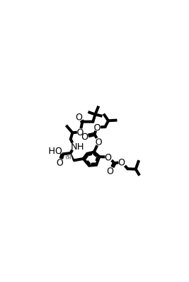 CC(C)COC(=O)Oc1ccc(C[C@H](NCC(C)OC(=O)CC(C)(C)C)C(=O)O)cc1OC(=O)OCC(C)C